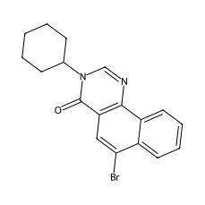 O=c1c2cc(Br)c3ccccc3c2ncn1C1CCCCC1